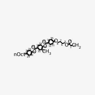 C=CC(=O)OCCCCOc1ccc(C(=O)Oc2ccc(C(=O)Oc3ccc(CCCCCCCC)cc3)cc2C)cc1